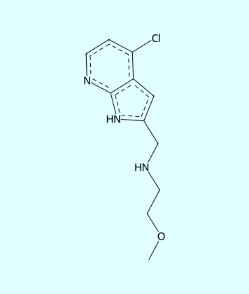 COCCNCc1cc2c(Cl)ccnc2[nH]1